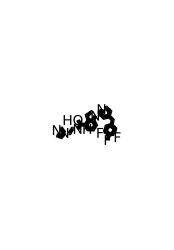 OC(NCCn1ccnc1)c1cccc2c1CCN2c1cc(Cc2cc(F)c(F)c(F)c2)ccn1